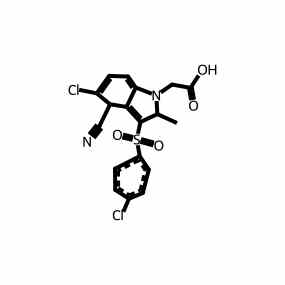 CC1C(S(=O)(=O)c2ccc(Cl)cc2)=C2C(=CC=C(Cl)C2C#N)N1CC(=O)O